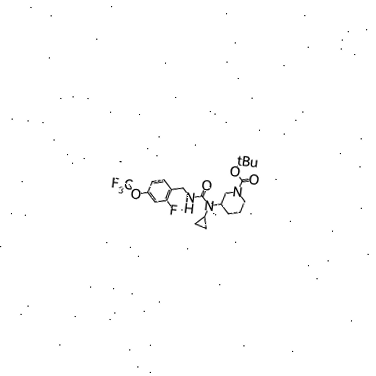 CC(C)(C)OC(=O)N1CCCC(N(C(=O)NCc2ccc(OC(F)(F)F)cc2F)C2CC2)C1